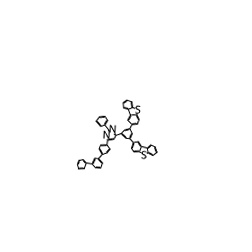 c1ccc(-c2cccc(-c3ccc(-c4cc(-c5cc(-c6ccc7sc8ccccc8c7c6)cc(-c6ccc7sc8ccccc8c7c6)c5)nc(-c5ccccc5)n4)cc3)c2)cc1